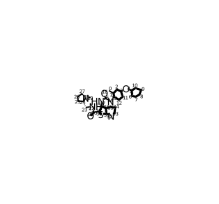 Cc1cc(Oc2ccccc2)ccc1N1C(=O)Nc2c(C(=O)NC[C@@H]3CCCN3C)sc3nccc1c23